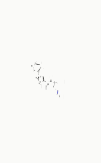 C/C=C/SC(C)C(=O)N(CC)c1cn(-c2cccnc2)nc1Cl